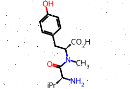 CC(C)[C@H](N)C(=O)N(C)[C@@H](Cc1ccc(O)cc1)C(=O)O